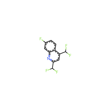 Fc1ccc2c(C(F)F)cc(C(F)F)nc2c1